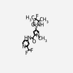 C[C@@H](N[S+]([O-])c1cc(C(=O)Nc2ccnc(C(F)F)c2)n(C)c1)C(C)(F)F